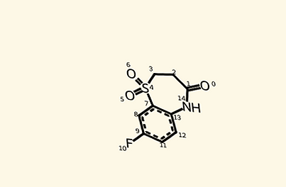 O=C1CCS(=O)(=O)c2cc(F)ccc2N1